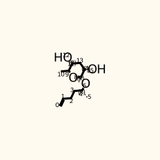 C=CCC[C@@H](C)O[C@@H]1OC(C)[C@H](O)C[C@@H]1O